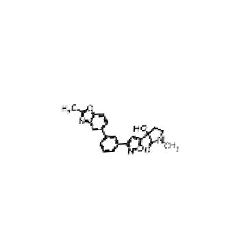 Cc1nc2cc(-c3cccc(-c4cc([C@]5(O)CCN(C)C5=O)on4)c3)ccc2o1